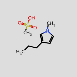 CCCc1ccn(C)c1.CS(=O)(=O)O